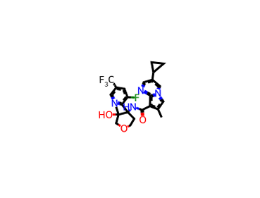 Cc1cn2cc(C3CC3)cnc2c1C(=O)NC1(c2ncc(C(F)(F)F)cc2F)CCOCC1(C)O